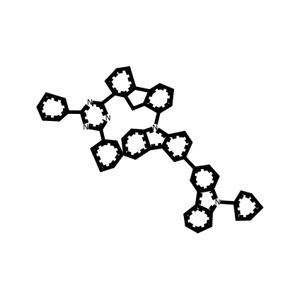 c1ccc(-c2nc(-c3ccccc3)nc(-c3cccc4c3Cc3c-4cccc3-n3c4ccccc4c4cc(-c5ccc6c(c5)c5ccccc5n6-c5ccccc5)ccc43)n2)cc1